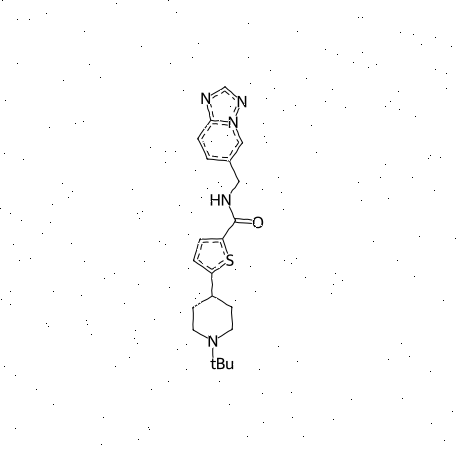 CC(C)(C)N1CCC(c2ccc(C(=O)NCc3ccc4ncnn4c3)s2)CC1